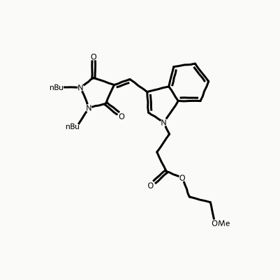 CCCCN1C(=O)C(=Cc2cn(CCC(=O)OCCOC)c3ccccc23)C(=O)N1CCCC